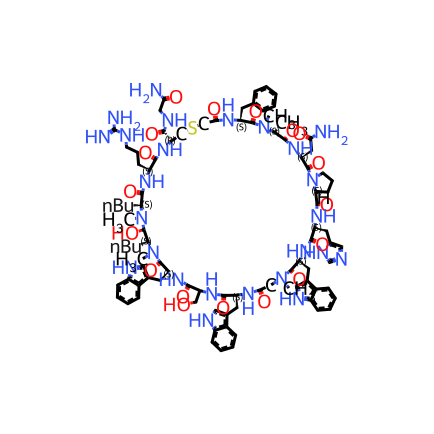 CCCC[C@H]1C(O)N(C)[C@@H](CCCC)C(=O)N[C@@H](CCCNC(=N)N)C(=O)N[C@H](C(=O)NCC(N)=O)CSCC(=O)N[C@@H](Cc2ccccc2)C(=O)N(C)[C@@H](C)C(=O)N[C@@H](CC(N)=O)C(=O)N2CCC[C@H]2C(=O)N[C@@H](Cc2cnc[nH]2)C(=O)N[C@@H](Cc2c[nH]c3ccccc23)C(=O)N(C)CC(=O)N[C@@H](Cc2c[nH]c3ccccc23)C(=O)NC(CO)C(=O)N[C@@H](Cc2c[nH]c3ccccc23)C(=O)N1C